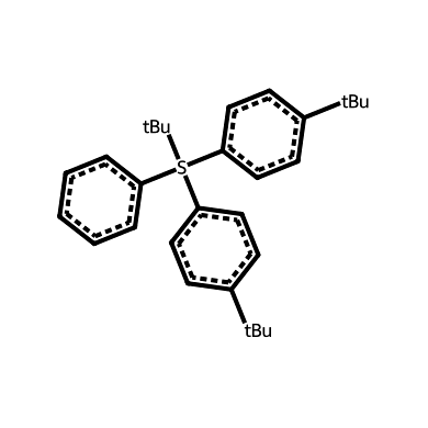 CC(C)(C)c1ccc(S(c2ccccc2)(c2ccc(C(C)(C)C)cc2)C(C)(C)C)cc1